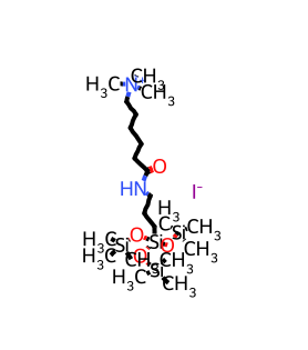 C[N+](C)(C)CCCCCC(=O)NCCC[Si](O[Si](C)(C)C)(O[Si](C)(C)C)O[Si](C)(C)C.[I-]